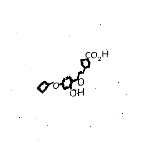 O=C(O)c1ccc(/C=C/C(=O)c2ccc(OCc3ccccc3)cc2O)cc1